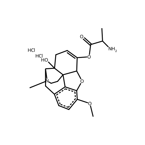 COc1ccc2c3c1OC1C(OC(=O)C(C)N)=CCC4(O)C(C2)N(C)CCC314.Cl.Cl